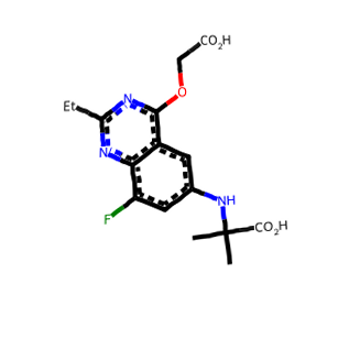 CCc1nc(OCC(=O)O)c2cc(NC(C)(C)C(=O)O)cc(F)c2n1